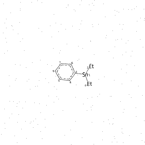 C[CH2][Sn]([CH2]C)[c]1ccccc1